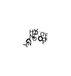 COc1c([C@@H]2[C@@H](C(=O)Nc3ccc(C(C)C)nc3)OC(C)(C)[C@@H]2C)ccc(F)c1C(F)F